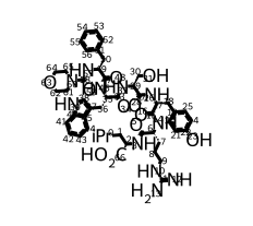 CC(C)C[C@H](NC(=O)[C@@H](CCCNC(=N)N)NC(=O)[C@H](Cc1ccc(O)cc1)NC(=O)[C@H](CO)NC(=O)[C@H](Cc1c[nH]c2ccccc12)NC(=O)[C@H](Cc1ccccc1)NC(=O)N1CCOCC1)C(=O)O